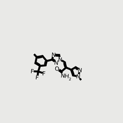 Cc1cc(-c2ncn(C=C(C(N)=O)c3cnn(C)c3)n2)cc(C(F)(F)F)c1